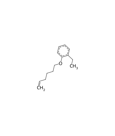 C=CCCCCOc1ccccc1CC